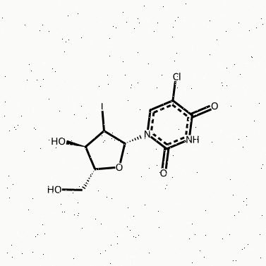 O=c1[nH]c(=O)n([C@@H]2O[C@H](CO)[C@@H](O)C2I)cc1Cl